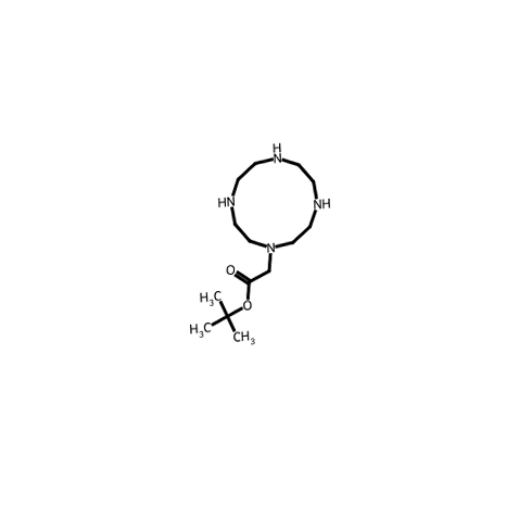 CC(C)(C)OC(=O)CN1CCNCCNCCNCC1